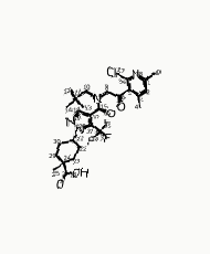 Cc1cc(C)c(C(=O)CN(CC(C)(C)C)C(=O)c2cnn([C@H]3CC[C@](C)(C(=O)O)CC3)c2C(F)(F)F)c(Cl)n1